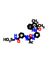 CC(=O)/C(=N/Nc1cccc(C(=O)NCS(=O)(=O)O)c1)C(=O)Nc1cccc(NC(=O)C(C)(C)CC(C)c2ccccc2)c1